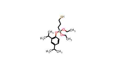 CCO[Si](CCCS)(OCC)Oc1ccc(C(C)C)cc1C(C)C